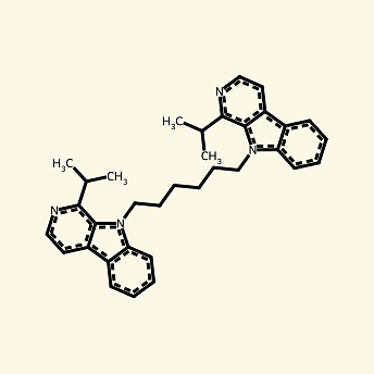 CC(C)c1nccc2c3ccccc3n(CCCCCCn3c4ccccc4c4ccnc(C(C)C)c43)c12